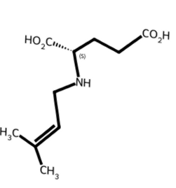 CC(C)=CCN[C@@H](CCC(=O)O)C(=O)O